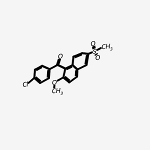 COc1ccc2cc(S(C)(=O)=O)ccc2c1C(=O)c1ccc(Cl)cc1